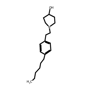 CCCCCCc1ccc(CCN2CCC(O)CC2)cc1